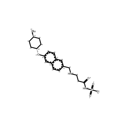 CCS(=O)(=O)NC(=O)CCNCc1ccc2cc(O[C@H]3CC[C@H](C(C)(C)C)CC3)ccc2c1